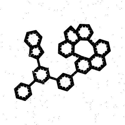 c1ccc(-c2nc(-c3cccc(-c4cc5ccc6cccc7c8cccc9ccc%10cccc(c(c4)c5c67)c%10c98)c3)nc(-c3cc4ccccc4o3)n2)cc1